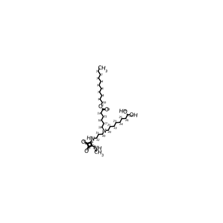 CCCCCCCCCCCOC(=O)CCCCCN(CCCCCCCC(O)O)CCCNc1c(NC)c(=O)c1=O